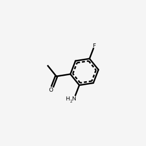 CC(=O)c1cc(F)ccc1N